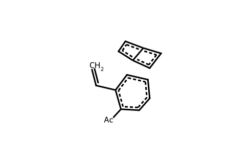 C=Cc1ccccc1C(C)=O.c1cc2ccc1-2